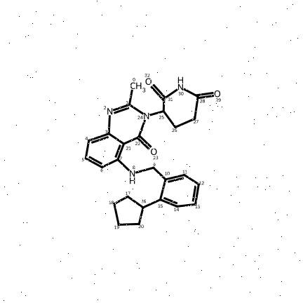 Cc1nc2cccc(NCc3ccccc3C3CCCC3)c2c(=O)n1C1CCC(=O)NC1=O